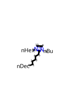 CCCCCCCCCCCCCCCc1n(CCCC)cc[n+]1CCCCCC